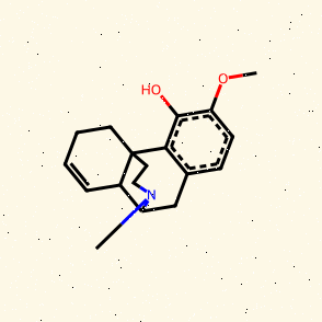 COc1ccc2c(c1O)C13CCC=CC1C(C2)N(C)CC3